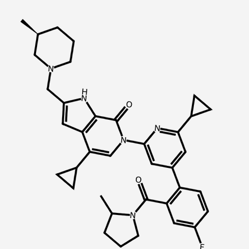 CC1CCCN1C(=O)c1cc(F)ccc1-c1cc(C2CC2)nc(-n2cc(C3CC3)c3cc(CN4CCC[C@H](C)C4)[nH]c3c2=O)c1